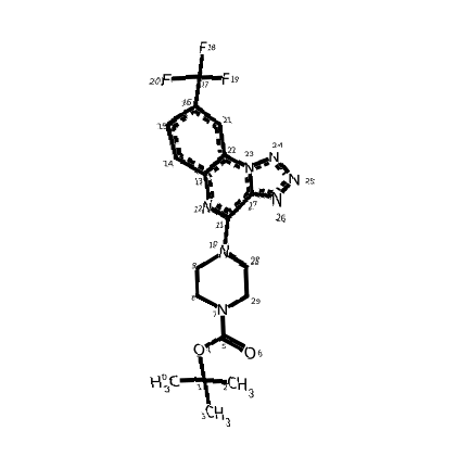 CC(C)(C)OC(=O)N1CCN(c2nc3ccc(C(F)(F)F)cc3n3nnnc23)CC1